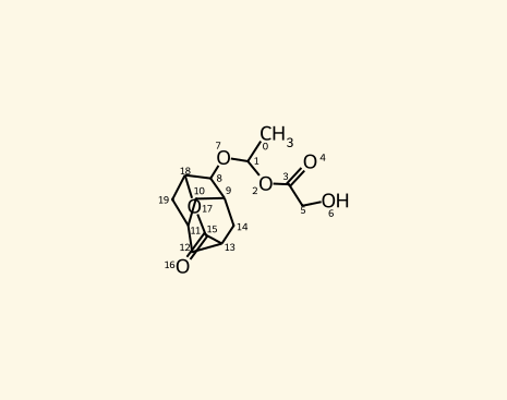 CC(OC(=O)CO)OC1C2CC3CC(C2)C(=O)OC1C3